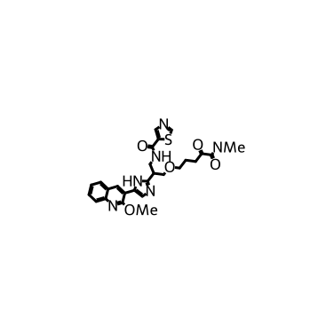 CNC(=O)C(=O)CCCOCC(CNC(=O)c1cncs1)c1ncc(-c2cc3ccccc3nc2OC)[nH]1